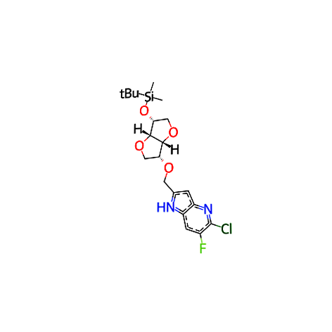 CC(C)(C)[Si](C)(C)O[C@@H]1CO[C@H]2[C@@H]1OC[C@H]2OCc1cc2nc(Cl)c(F)cc2[nH]1